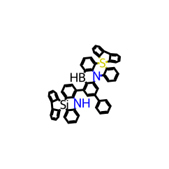 B1c2cccc3c2N(c2ccccc2S32c3ccccc3-c3ccccc32)c2cc(-c3ccccc3)cc(-c3cccc4c3Nc3ccccc3[Si]43c4ccccc4-c4ccccc43)c21